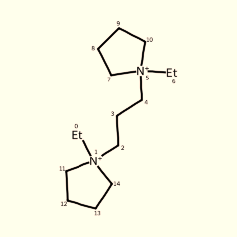 CC[N+]1(CCC[N+]2(CC)CCCC2)CCCC1